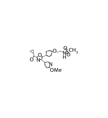 COc1ccc(-c2nc(C(=O)C3CC3)oc2-c2ccc(OCCNS(C)(=O)=O)cc2)cn1